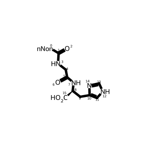 CCCCCCCCCC(=O)NCC(=O)N[C@@H](Cc1c[nH]cn1)C(=O)O